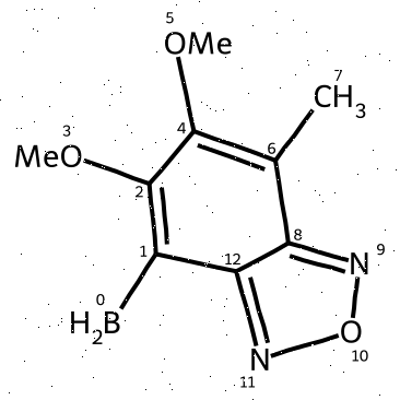 Bc1c(OC)c(OC)c(C)c2nonc12